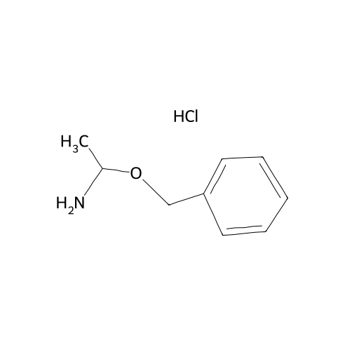 CC(N)OCc1ccccc1.Cl